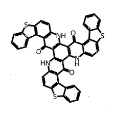 O=c1c2c([nH]c3ccc4sc5ccccc5c4c13)c1c(=O)c3c(ccc4sc5ccccc5c43)[nH]c1c1c(=O)c3c(ccc4sc5ccccc5c43)[nH]c21